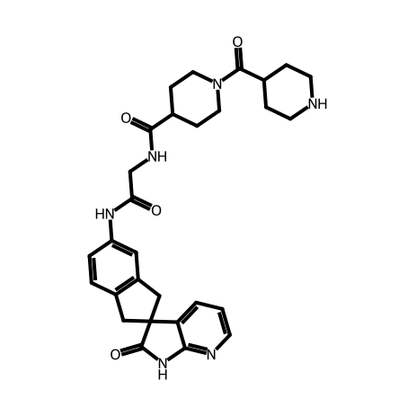 O=C(CNC(=O)C1CCN(C(=O)C2CCNCC2)CC1)Nc1ccc2c(c1)CC1(C2)C(=O)Nc2ncccc21